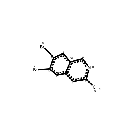 Cc1cc2cc(Br)c(Br)cc2cn1